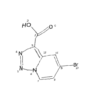 O=C(O)c1nnn2ccc(Br)cc12